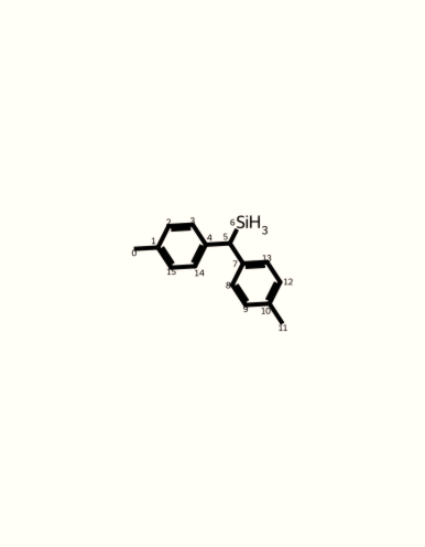 Cc1ccc(C([SiH3])c2ccc(C)cc2)cc1